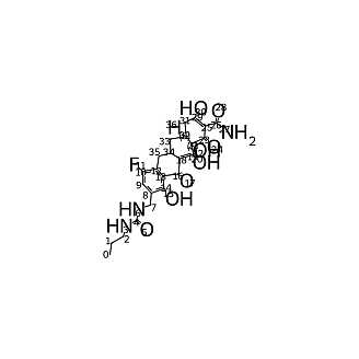 CCCNC(=O)NCc1cc(F)c2c(c1O)C(=O)C1=C(O)[C@]3(O)C(=O)C(C(N)=O)=C(O)C[C@@H]3CC1C2